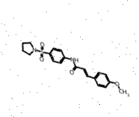 COc1ccc(C=CC(=O)Nc2ccc(S(=O)(=O)N3CCCC3)cc2)cc1